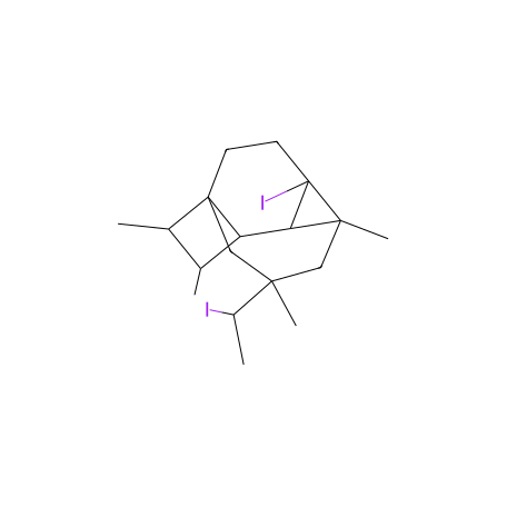 CC1C(C)C23CCC4(I)C(C12)C4(C)CC(C)(C(C)I)C3